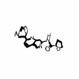 O=C(Nc1cc2nc(-c3cnco3)ccc2cn1)[C@H]1CCCO1